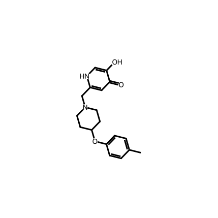 Cc1ccc(OC2CCN(Cc3cc(=O)c(O)c[nH]3)CC2)cc1